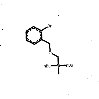 CCCC[Si](C)(CCCC)COCc1ccccc1Br